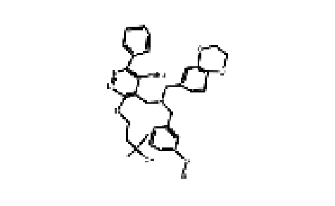 CCCCc1c(-c2ccccc2)nnc(OCCC(C)(C)O)c1CN(Cc1cccc(OCC)c1)Cc1ccc2c(c1)OCCO2